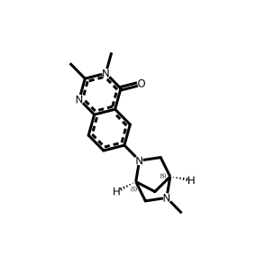 Cc1nc2ccc(N3C[C@@H]4C[C@H]3CN4C)cc2c(=O)n1C